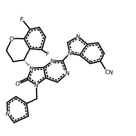 N#Cc1ccc2ncn(-c3ncc4c(n3)n([C@@H]3CCOc5c(F)ccc(F)c53)c(=O)n4Cc3ccncc3)c2c1